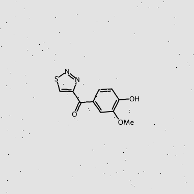 COc1cc(C(=O)c2csnn2)ccc1O